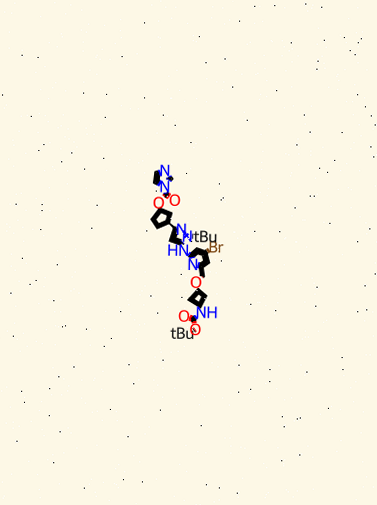 CC(C)(C)OC(=O)N[C@H]1C[C@H](OCc2cc(Br)cc(Nc3cc([C@H]4CC[C@@H](OC(=O)n5ccnc5)C4)nn3C(C)(C)C)n2)C1